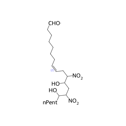 CCCCCC(O)C(CC(O)C(C/C=C\CCCCCC[C]=O)[N+](=O)[O-])[N+](=O)[O-]